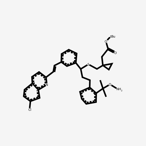 CC(C)(C)OC(=O)CC1(CSC(CCc2ccccc2C(C)(C)ON)c2cccc(/C=C/c3ccc4ccc(Cl)cc4n3)c2)CC1